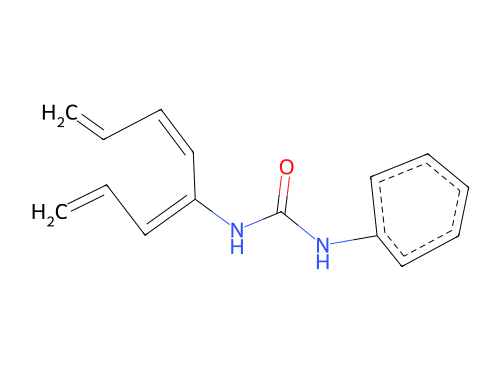 C=C/C=C\C(=C/C=C)NC(=O)Nc1ccccc1